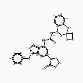 O=C(Nc1cc(N2CCCC2=O)cc2c1cnn2Cc1ccccc1)NC1CC2(CCC2)Oc2ccccc21